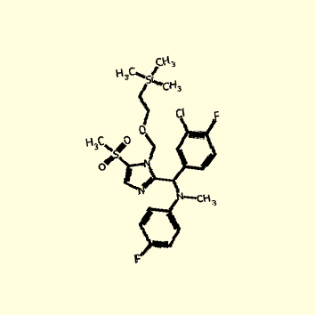 CN(c1ccc(F)cc1)C(c1ccc(F)c(Cl)c1)c1ncc(S(C)(=O)=O)n1COCC[Si](C)(C)C